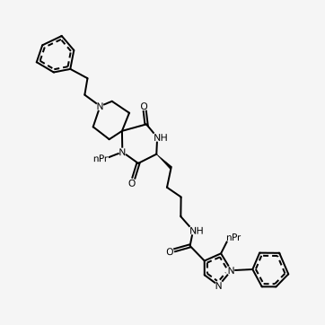 CCCc1c(C(=O)NCCCC[C@@H]2NC(=O)C3(CCN(CCc4ccccc4)CC3)N(CCC)C2=O)cnn1-c1ccccc1